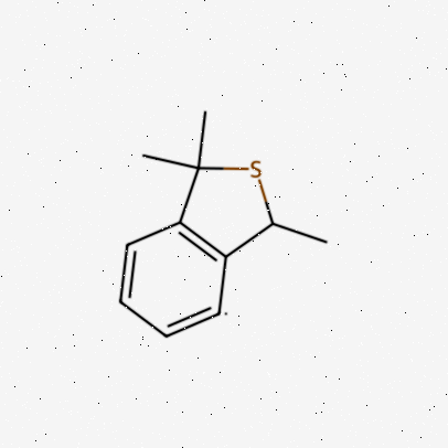 CC1SC(C)(C)c2ccc[c]c21